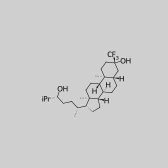 CC(C)[C@H](O)CC[C@@H](C)[C@H]1CC[C@H]2[C@@H]3CC[C@H]4C[C@](O)(C(F)(F)F)CC[C@]4(C)[C@H]3CC[C@]12C